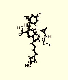 CONC1CC1.O=C(O)c1cc2c(ncn2CCCCN2CC(O)C2)c(F)c1Nc1ccc(I)cc1Cl